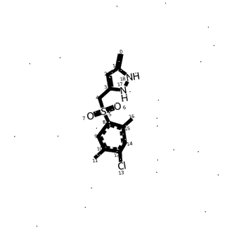 C=C1C=C(CS(=O)(=O)c2cc(C)c(Cl)cc2C)NN1